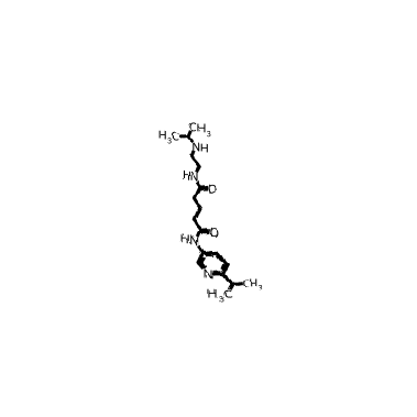 CC(C)NCCNC(=O)CCCC(=O)Nc1ccc(C(C)C)nc1